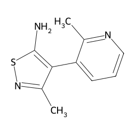 Cc1ncccc1-c1c(C)nsc1N